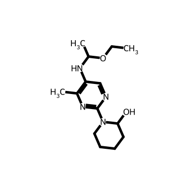 CCOC(C)Nc1cnc(N2CCCCC2O)nc1C